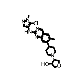 Cc1cc2cnc(Nc3cnn(C)c3Cl)nc2cc1C1CCN([C@@H]2COCC2O)CC1